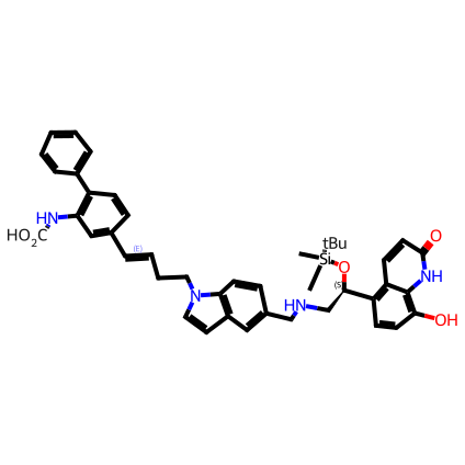 CC(C)(C)[Si](C)(C)O[C@H](CNCc1ccc2c(ccn2CC/C=C/c2ccc(-c3ccccc3)c(NC(=O)O)c2)c1)c1ccc(O)c2[nH]c(=O)ccc12